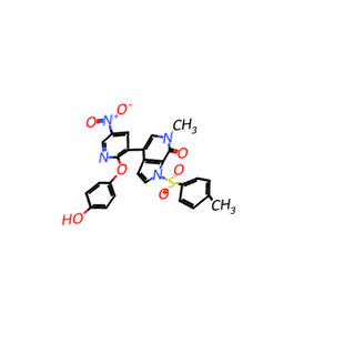 Cc1ccc(S(=O)(=O)n2ccc3c(-c4cc([N+](=O)[O-])cnc4Oc4ccc(O)cc4)cn(C)c(=O)c32)cc1